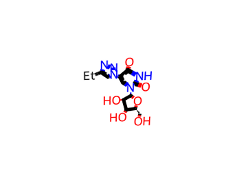 CCc1cn(-c2cn([C@@H]3O[C@H](CO)C(O)[C@@H]3O)c(=O)[nH]c2=O)nn1